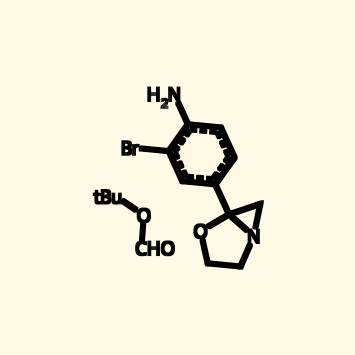 CC(C)(C)OC=O.Nc1ccc(C23CN2CCO3)cc1Br